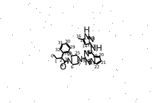 CCC(C(=O)N1CCN(c2nc(Nc3cc(C)[nH]n3)c3cccn3n2)CC1)c1ccccc1